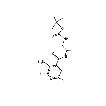 CC(CNC(=O)OC(C)(C)C)NC(=O)c1cc(Cl)nc(I)c1N